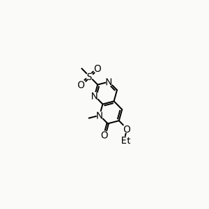 CCOc1cc2cnc(S(C)(=O)=O)nc2n(C)c1=O